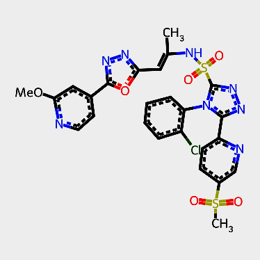 COc1cc(-c2nnc(/C=C(\C)NS(=O)(=O)c3nnc(-c4ccc(S(C)(=O)=O)cn4)n3-c3ccccc3Cl)o2)ccn1